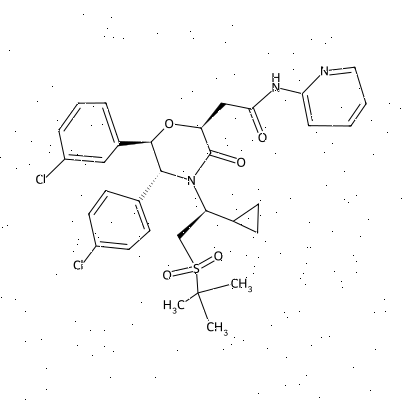 CC(C)(C)S(=O)(=O)C[C@H](C1CC1)N1C(=O)[C@H](CC(=O)Nc2ccccn2)O[C@H](c2cccc(Cl)c2)[C@H]1c1ccc(Cl)cc1